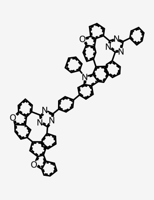 c1ccc(-c2nc(-c3ccc(-c4ccc5c6cccc(-c7ccc8oc9cccc(-c%10nc(-c%11ccccc%11)nc(-c%11ccccc%11)n%10)c9c8c7)c6n(-c6ccccc6)c5c4)cc3)nc(-c3cccc4oc5ccc(-c6ccc7c(c6)oc6ccccc67)cc5c34)n2)cc1